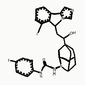 O=C(Nc1ccc(F)cc1)NN1C2CC3CC1CC(C(O)CC1c4c(F)cccc4-c4cncn41)(C3)C2